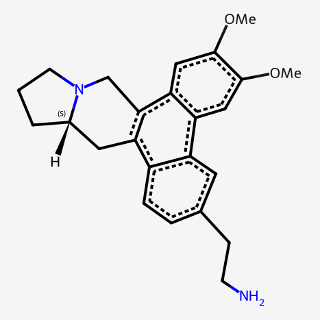 COc1cc2c3c(c4ccc(CCN)cc4c2cc1OC)C[C@@H]1CCCN1C3